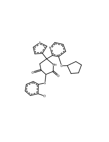 O=C1CC(c2ccsc2)(c2ncccc2OC2CCCC2)NC(=O)C1Sc1ccccc1Cl